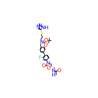 CC(=O)NC[C@H]1CN(c2ccc(-c3ccc(CN(CCCSc4cnn[nH]4)C(=O)OC(C)(C)C)cc3)c(F)c2)C(=O)O1